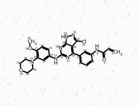 C=CC(=O)Nc1cccc(-c2nc(Nc3ccc(OC)c(N4CCOCC4)c3)nc3[nH]nc(Cl)c23)c1